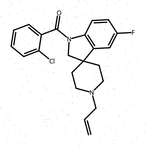 C=CCN1CCC2(CC1)CN(C(=O)c1ccccc1Cl)c1ccc(F)cc12